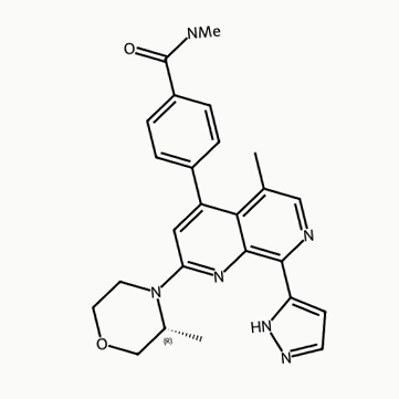 CNC(=O)c1ccc(-c2cc(N3CCOC[C@H]3C)nc3c(-c4ccn[nH]4)ncc(C)c23)cc1